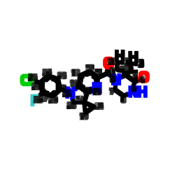 CC1(C)C(=O)NCCN1C(=O)c1ccc2c(n1)C1(CC1)CN2c1ccc(Cl)c(F)c1